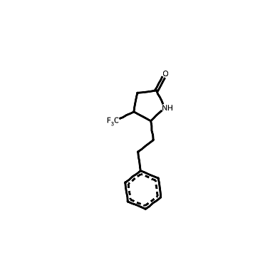 O=C1CC(C(F)(F)F)C(CCc2ccccc2)N1